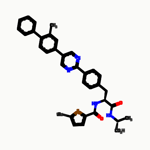 Cc1cc(-c2cnc(-c3ccc(C[C@H](NC(=O)c4ccc(C(C)(C)C)s4)C(=O)N[C@H](C)C(=O)O)cc3)nc2)ccc1-c1ccccc1